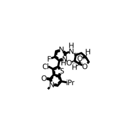 CC(C)c1cn(C)c(=O)c2c(Cl)c(-c3nc(N[C@@H]4C[C@H]5CO[C@H](O5)[C@H]4O)ncc3F)sc12